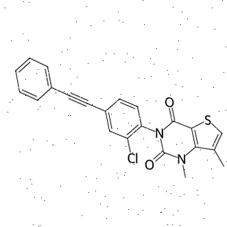 Cc1csc2c(=O)n(-c3ccc(C#Cc4ccccc4)cc3Cl)c(=O)n(C)c12